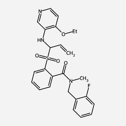 C=CC(Nc1cnccc1OCC)S(=O)(=O)c1ccccc1C(=O)N(C)Cc1ccccc1F